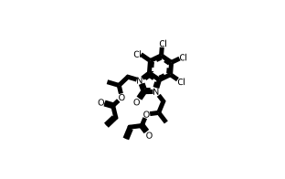 C=CC(=O)OC(C)Cn1c(=O)n(CC(C)OC(=O)C=C)c2c(Cl)c(Cl)c(Cl)c(Cl)c21